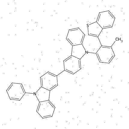 Cc1cccc(-n2c3ccccc3c3cc(-c4ccc5c(c4)c4ccccc4n5-c4ccccc4)ccc32)c1-c1csc2ccccc12